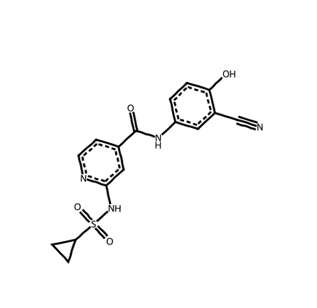 N#Cc1cc(NC(=O)c2ccnc(NS(=O)(=O)C3CC3)c2)ccc1O